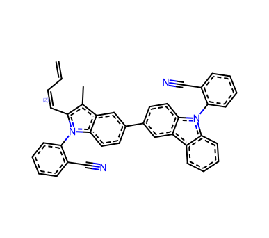 C=C/C=C\c1c(C)c2cc(-c3ccc4c(c3)c3ccccc3n4-c3ccccc3C#N)ccc2n1-c1ccccc1C#N